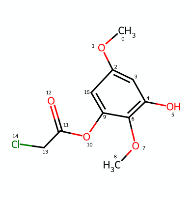 COc1cc(O)c(OC)c(OC(=O)CCl)c1